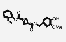 COc1cc(CNC(=O)C2CN(C(=O)Oc3ccccc3C(C)C)C2)ccc1O